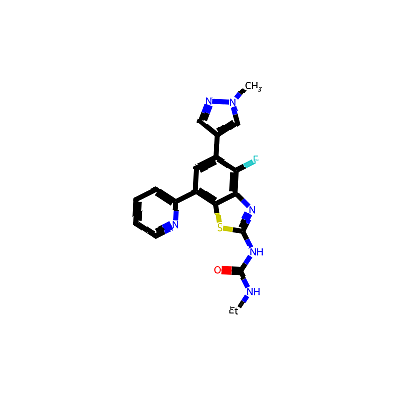 CCNC(=O)Nc1nc2c(F)c(-c3cnn(C)c3)cc(-c3ccccn3)c2s1